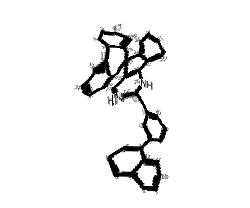 c1cc(-c2cccc3ccccc23)cc(C2NCC3=C(N2)c2ccccc2C32c3ccccc3-c3ccccc32)c1